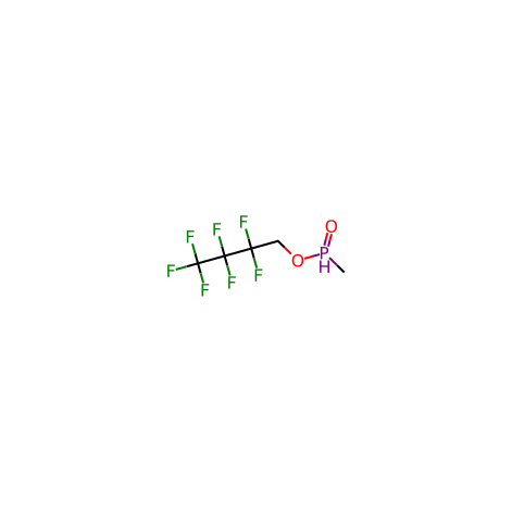 C[PH](=O)OCC(F)(F)C(F)(F)C(F)(F)F